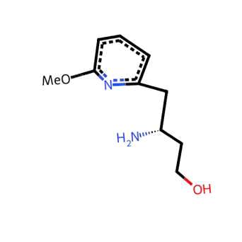 COc1cccc(C[C@@H](N)CCO)n1